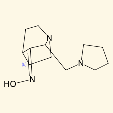 O/N=C1\C2CCN(CC2)C1CN1CCCC1